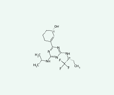 CC[C@@H](Nc1nc(NC(C)C)nc(C2=C[C@@H](O)CCC2)n1)C(F)(F)F